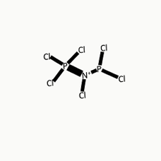 Cl[N+](P(Cl)Cl)=P(Cl)(Cl)Cl